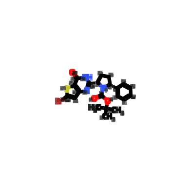 CC(C)(C)OC(=O)N1[C@@H](c2ccccc2)CC[C@H]1c1nc2cc(Br)sc2c(=O)[nH]1